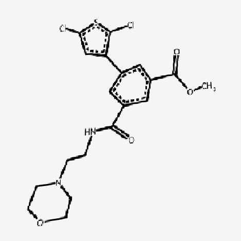 COC(=O)c1cc(C(=O)NCCN2CCOCC2)cc(-c2cc(Cl)sc2Cl)c1